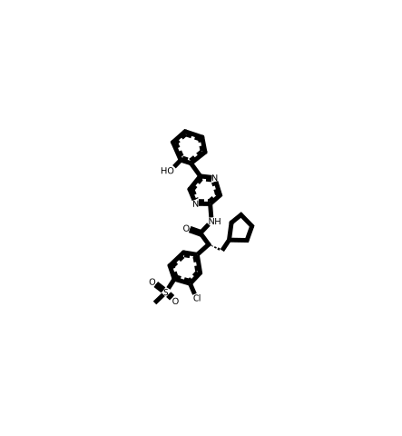 CS(=O)(=O)c1ccc([C@@H](CC2CCCC2)C(=O)Nc2cnc(-c3ccccc3O)cn2)cc1Cl